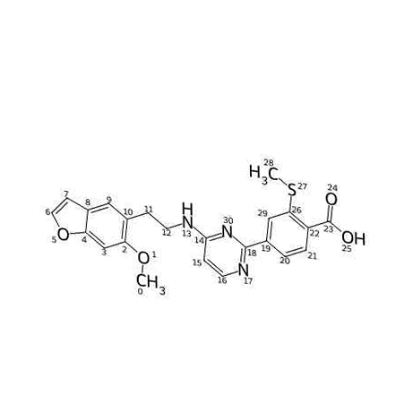 COc1cc2occc2cc1CCNc1ccnc(-c2ccc(C(=O)O)c(SC)c2)n1